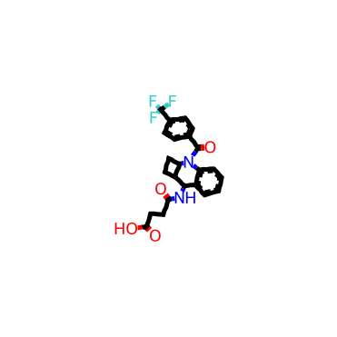 O=C(O)CCC(=O)NC1c2ccccc2N(C(=O)c2ccc(C(F)(F)F)cc2)C2CCC12